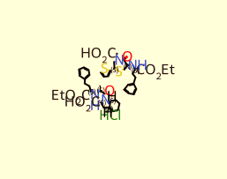 CCOC(=O)[C@H](CCc1ccccc1)N[C@@H](C)C(=O)N1[C@H](C(=O)O)C[C@H]2CCCC[C@@H]21.CCOC(=O)[C@H](CCc1ccccc1)N[C@H]1CS[C@H](c2cccs2)CN(CC(=O)O)C1=O.Cl